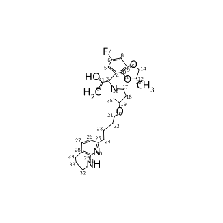 C=C(O)C(c1cc(F)cc2c1O[C@@H](C)CO2)N1CC[C@@H](OCCCCc2ccc3c(n2)NCCC3)C1